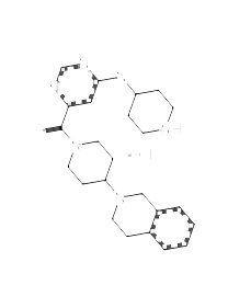 O=C(c1cc(NC2CCNCC2)ncn1)N1CCC(N2CCc3ccccc3C2)[C@@H](O)C1